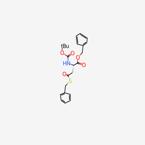 CC(C)(C)OC(=O)N[C@@H](CC(=O)SCc1ccccc1)C(=O)OCc1ccccc1